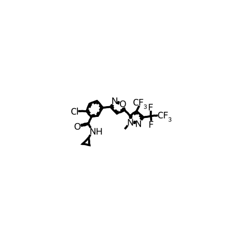 Cn1nc(C(F)(F)C(F)(F)F)c(C(F)(F)F)c1-c1cc(-c2ccc(Cl)c(C(=O)NC3CC3)c2)no1